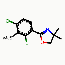 CSc1c(Cl)ccc(C2=NC(C)(C)CO2)c1F